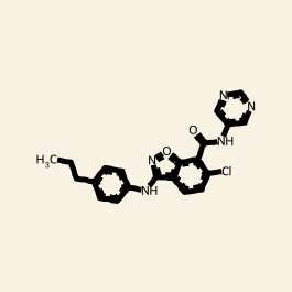 CCCc1ccc(Nc2noc3c(C(=O)Nc4cncnc4)c(Cl)ccc23)cc1